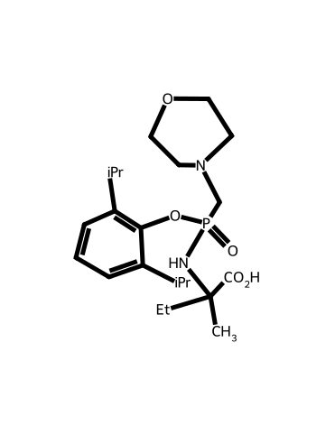 CCC(C)(NP(=O)(CN1CCOCC1)Oc1c(C(C)C)cccc1C(C)C)C(=O)O